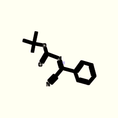 CC(C)(C)OC(=O)/N=C(\C#N)c1ccccc1